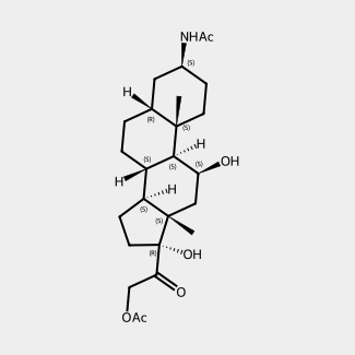 CC(=O)N[C@H]1CC[C@@]2(C)[C@H](CC[C@@H]3[C@@H]2[C@@H](O)C[C@@]2(C)[C@H]3CC[C@]2(O)C(=O)COC(C)=O)C1